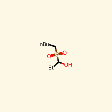 CCCCCS(=O)(=O)C(O)CC